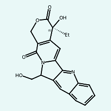 CC[C@@]1(O)C(=O)OCc2c1cc1n(c2=O)C(CO)c2cc3ccccc3nc2-1